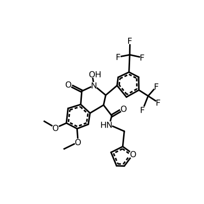 COc1cc2c(cc1OC)C(C(=O)NCc1ccco1)C(c1cc(C(F)(F)F)cc(C(F)(F)F)c1)N(O)C2=O